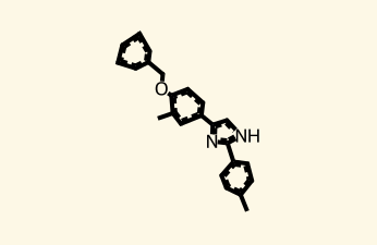 Cc1ccc(-c2nc(-c3ccc(OCc4ccccc4)c(C)c3)c[nH]2)cc1